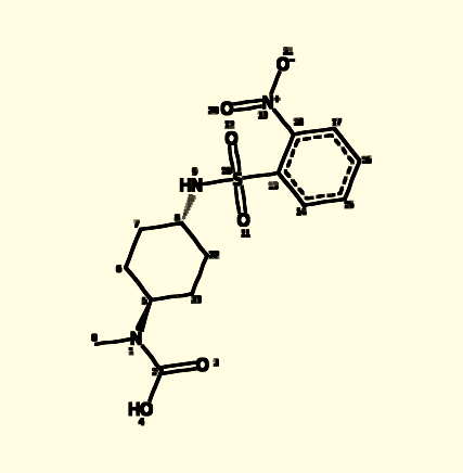 CN(C(=O)O)[C@H]1CC[C@H](NS(=O)(=O)c2ccccc2[N+](=O)[O-])CC1